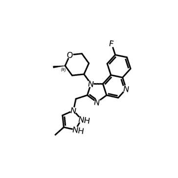 CC1=CN(Cc2nc3cnc4ccc(F)cc4c3n2C2CCO[C@H](C)C2)NN1